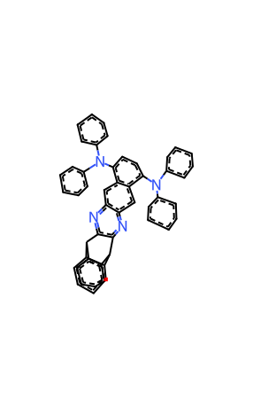 c1ccc(N(c2ccccc2)c2ccc(N(c3ccccc3)c3ccccc3)c3cc4nc5c(nc4cc23)C2c3ccccc3C5c3ccccc32)cc1